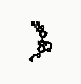 Nc1nc2cc(-c3nc4cc(OCC5CC5)cc5c4n3CCCO5)ccc2o1